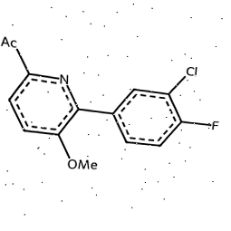 COc1ccc(C(C)=O)nc1-c1ccc(F)c(Cl)c1